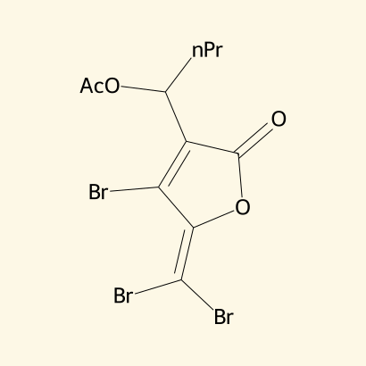 CCCC(OC(C)=O)C1=C(Br)C(=C(Br)Br)OC1=O